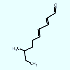 CCC(C)CCC=CC=C[C]=O